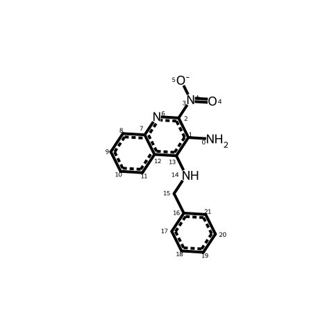 Nc1c([N+](=O)[O-])nc2ccccc2c1NCc1ccccc1